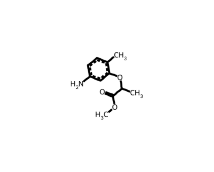 COC(=O)C(C)Oc1cc(N)ccc1C